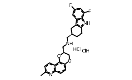 Cc1ccc2c3c(ccc2n1)OC[C@H](CNC[C@@H]1CCc2[nH]c4c(F)cc(F)cc4c2C1)O3.Cl.Cl